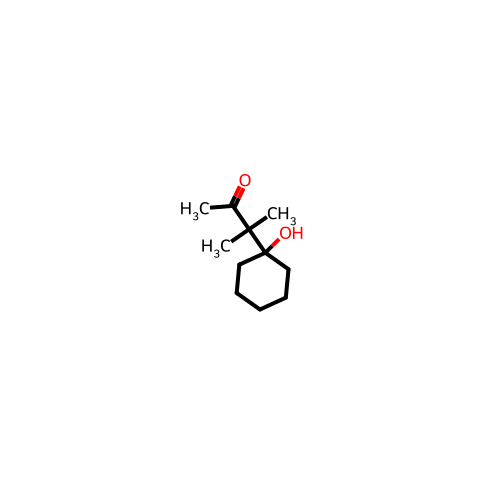 CC(=O)C(C)(C)C1(O)CCCCC1